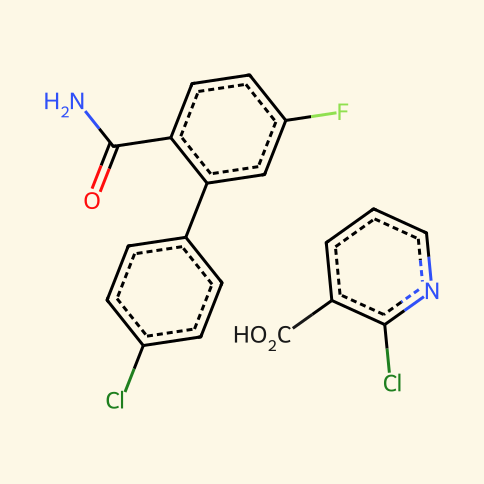 NC(=O)c1ccc(F)cc1-c1ccc(Cl)cc1.O=C(O)c1cccnc1Cl